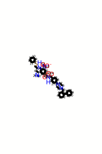 CN(C)CC[C@H](CSc1ccccc1)Nc1ccc(S(=O)(=O)NC(=O)c2ccc(N3CCN(CC4=C(c5ccccc5)CCCC4)CC3)cc2)cc1[N+](=O)[O-]